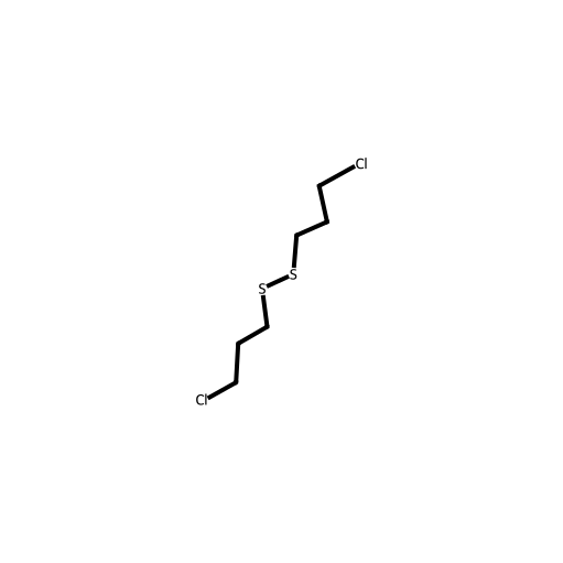 ClCCCSSCCCCl